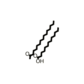 CCCCCCCCCCCCC(=O)O.CCCCCCCCCCCCCCC(C)=O